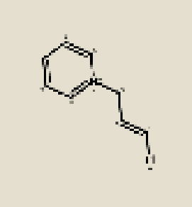 ClC=CC[n+]1ccccc1